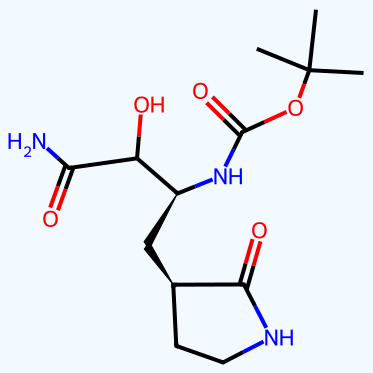 CC(C)(C)OC(=O)N[C@@H](C[C@@H]1CCNC1=O)C(O)C(N)=O